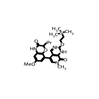 COc1cc2c(c(-c3cn(C)c(=O)c(NCOCC[Si](C)(C)C)c3C=N)c1)OC(C(C)C)C(=O)N2